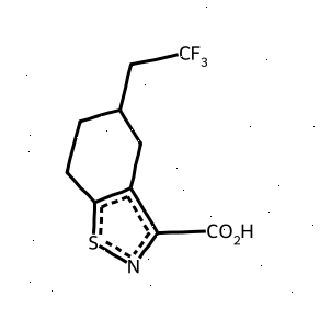 O=C(O)c1nsc2c1CC(CC(F)(F)F)CC2